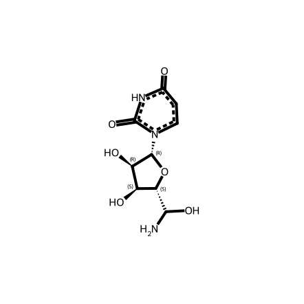 NC(O)[C@H]1O[C@@H](n2ccc(=O)[nH]c2=O)[C@H](O)[C@@H]1O